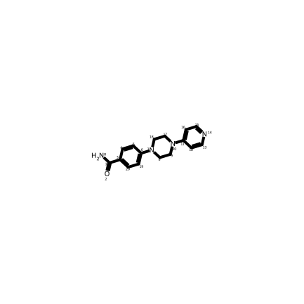 NC(=O)c1ccc(N2CCN(c3ccncc3)CC2)cc1